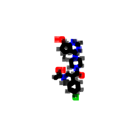 CB(O)N(C[C@@H](C(=O)N1CCN(c2ncnc3c2[C@H](C)C[C@H]3O)CC1)c1ccc(Cl)cc1)C(C)C